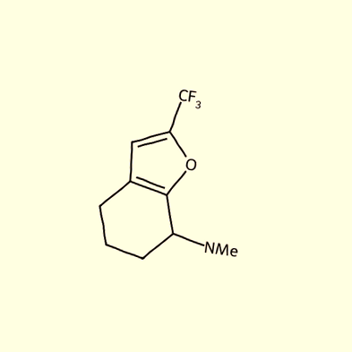 CNC1CCCc2cc(C(F)(F)F)oc21